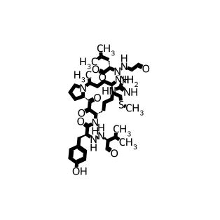 CSCC[C@H](NN(NCC=O)[C@H](C=O)CC(C)C)C(=O)CC(C)N1CCC[C@H]1C(=O)C(=O)[C@H](CCCNC(=N)N)NC(=O)[C@H](Cc1ccc(O)cc1)NN[C@H](C=O)C(C)C